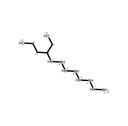 BBBBBBBBC(CO)CCO